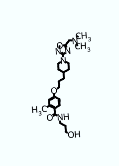 Cc1cc(OCCCC2CCN(c3noc(CN(C)C)n3)CC2)ccc1C(=O)NCCCO